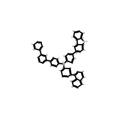 c1ccc(-c2cccc(-c3ccc(N(c4ccc(-c5ccc6sc7ccccc7c6c5)cc4)c4cccc(-c5cccc6ccccc56)c4)cc3)c2)cc1